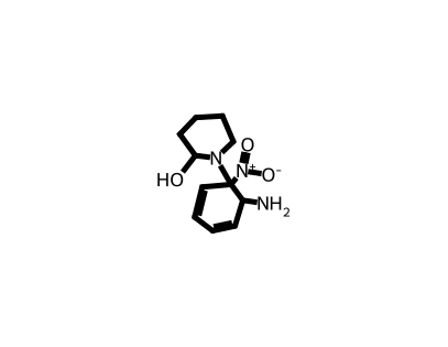 NC1C=CC=CC1(N1CCCCC1O)[N+](=O)[O-]